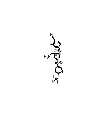 N#Cc1ccc(O[C@H]2CN(S(=O)(=O)c3ccc(OC(F)(F)F)nc3)C[C@@]2(O)CN)cc1F